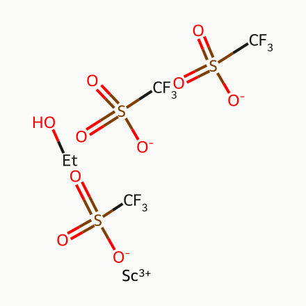 CCO.O=S(=O)([O-])C(F)(F)F.O=S(=O)([O-])C(F)(F)F.O=S(=O)([O-])C(F)(F)F.[Sc+3]